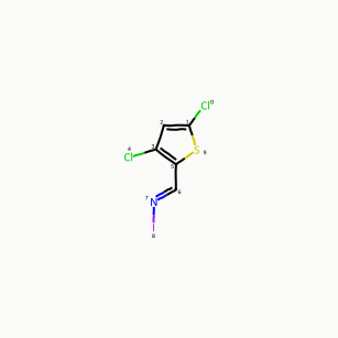 Clc1cc(Cl)c(/C=N/I)s1